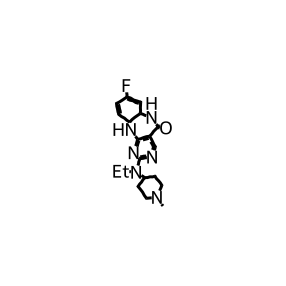 CCN(c1ncc2c(n1)NC1C=CC(F)=CC1NC2=O)C1CCN(C)CC1